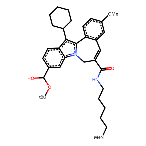 CNCCCCCNC(=O)C1=Cc2cc(OC)ccc2-c2c(C3CCCCC3)c3ccc(C(O)OC(C)(C)C)cc3n2C1